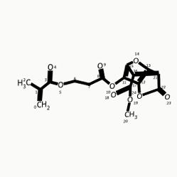 C=C(C)C(=O)OCCC(=O)Oc1c2c3oc1c(C(=O)OC)c3C(=O)O2